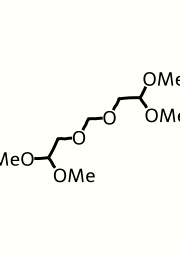 COC(COCOCC(OC)OC)OC